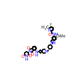 COc1cc2nn([C@H]3CC[C@H](CN4CCC5(CC4)CC(Nc4cccc6c4C(=O)N(C4CCC(=O)NC4=O)C6=O)C5)CC3)cc2cc1NC(=O)c1ccc(F)c(C)n1